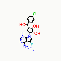 N/N=c1/nc[nH]c2c1c(F)cn2[C@@H]1C[C@H](C(O)c2ccc(Cl)cc2)[C@@H](O)[C@H]1O